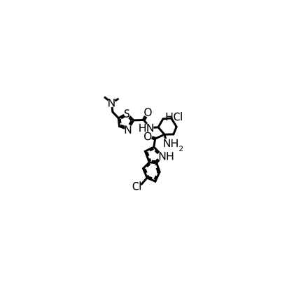 CN(C)Cc1cnc(C(=O)NC2CCCCC2(N)C(=O)c2cc3cc(Cl)ccc3[nH]2)s1.Cl